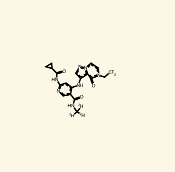 [2H]C([2H])([2H])NC(=O)c1cnc(NC(=O)C2CC2)cc1Nc1cnn2ccn(CC(F)(F)F)c(=O)c12